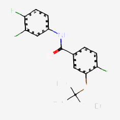 CCOC(=O)C(C)(C)Sc1cc(C(=O)Nc2ccc(F)c(Cl)c2)ccc1F